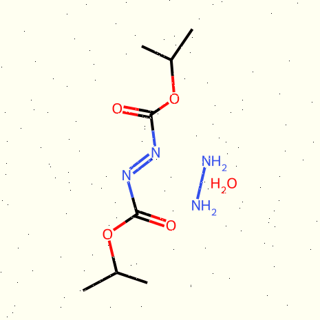 CC(C)OC(=O)N=NC(=O)OC(C)C.NN.O